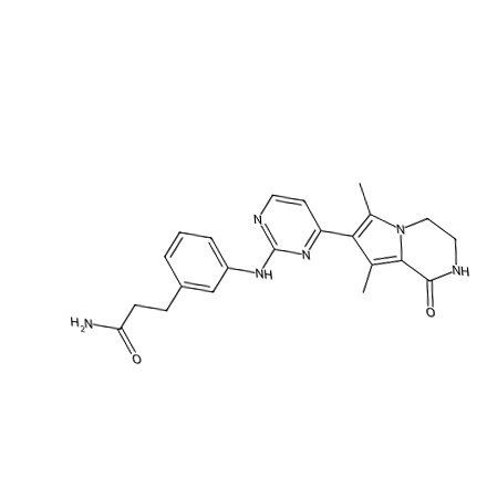 Cc1c(-c2ccnc(Nc3cccc(CCC(N)=O)c3)n2)c(C)n2c1C(=O)NCC2